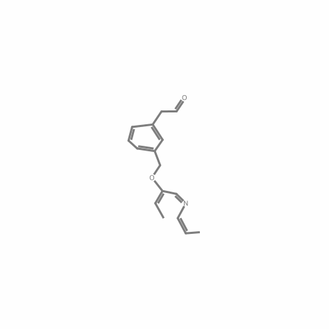 C\C=C/N=C\C(=C/C)OCc1cccc(CC=O)c1